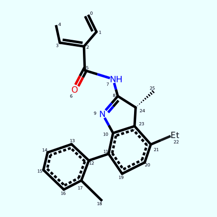 C=C/C(=C\C)C(=O)NC1=Nc2c(-c3ccccc3C)ccc(CC)c2[C@H]1C